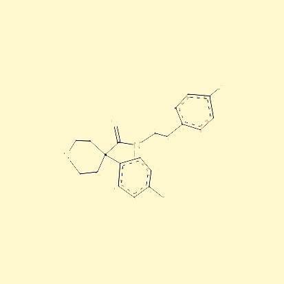 O=C(NCCc1ccc(F)cc1)C1(c2ccc(F)cc2)CCNCC1